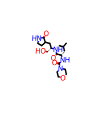 CC(C)C[C@H](NC(=O)N1CCOCC1)C(=O)N[C@H](CO)CC1CCNC1=O